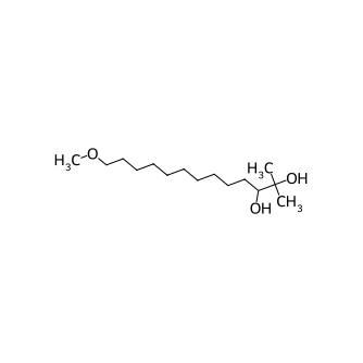 COCCCCCCCCCCC(O)C(C)(C)O